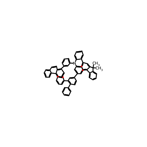 CC1(C)c2ccccc2-c2ccc(-c3ccccc3N(c3cccc(-c4ccc(-c5ccccc5)c(-c5ccccc5)c4)c3)c3cccc(-c4cccc5c4ccc4ccccc45)c3)cc21